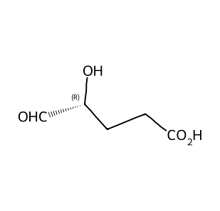 O=C[C@H](O)CCC(=O)O